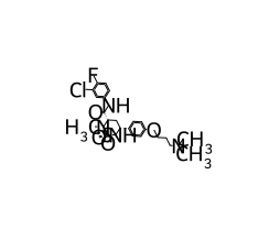 CN(C)CCCOc1ccc([C@H]2C[C@@H](C(=O)Nc3ccc(F)c(Cl)c3)N(C)S(=O)(=O)N2)cc1